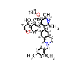 Cc1ccc(CN2CCc3cc(-c4c(C)nc(C)c(C(OC(C)(C)C)C(=O)O)c4-c4ccc5c(c4)CCCO5)ccc3C2)c(C)c1